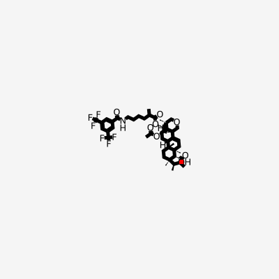 CC(=O)O[C@@H]1C[C@@]23COC[C@@](C)([C@@H]2CC[C@H]2C3=CC[C@@]3(C)[C@H](C(=O)O)[C@@](C)([C@H](C)C(C)C)CC[C@]23C)[C@H]1OC(=O)C(C)CCCCNC(=O)c1cc(C(F)(F)F)cc(C(F)(F)F)c1